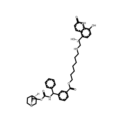 O=C(NC(c1ccccc1)c1cccc(C(=O)OCCCCCCCNC[C@H](O)c2ccc(O)c3[nH]c(=O)ccc23)c1)O[C@H]1CN2CCC1CC2